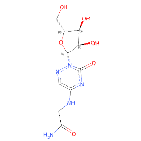 NC(=O)CNc1cnn([C@@H]2O[C@H](CO)[C@@H](O)[C@H]2O)c(=O)n1